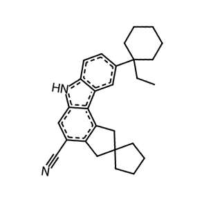 CCC1(c2ccc3[nH]c4cc(C#N)c5c(c4c3c2)CC2(CCCC2)C5)CCCCC1